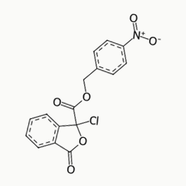 O=C1OC(Cl)(C(=O)OCc2ccc([N+](=O)[O-])cc2)c2ccccc21